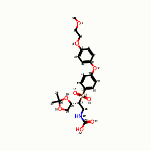 COCCOc1ccc(Oc2ccc(S(=O)(=O)C(CNC(=O)O)[C@@H]3COC(C)(C)O3)cc2)cc1